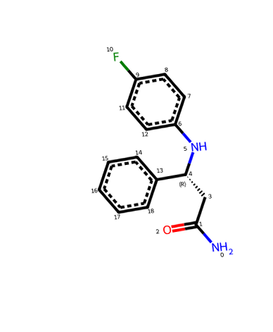 NC(=O)C[C@@H](Nc1ccc(F)cc1)c1ccccc1